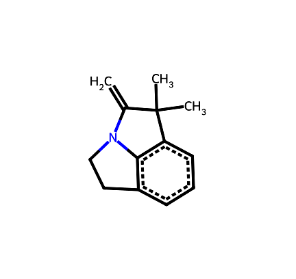 C=C1N2CCc3cccc(c32)C1(C)C